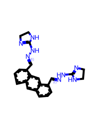 C(=N\NC1=NCCN1)/c1cccc2cc3cccc(/C=N/NC4=NCCN4)c3cc12